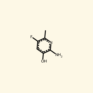 Cc1nc(N)c(O)cc1F